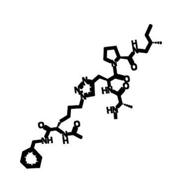 CC[C@H](C)CNC(=O)[C@@H]1CCCN1C(=O)[C@H](Cc1cn(CCCC[C@H](NC(C)=O)C(=O)NCc2ccccc2)nn1)NC(=O)[C@H](C)NC